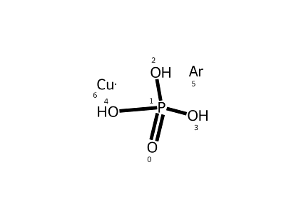 O=P(O)(O)O.[Ar].[Cu]